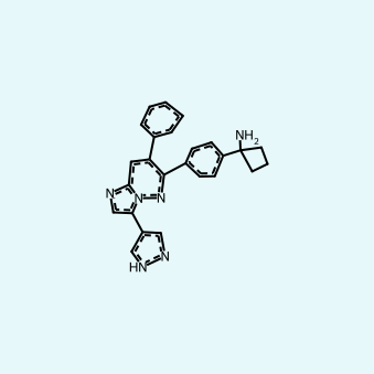 NC1(c2ccc(-c3nn4c(-c5cn[nH]c5)cnc4cc3-c3ccccc3)cc2)CCC1